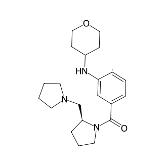 O=C(c1cc[c]c(NC2CCOCC2)c1)N1CCC[C@H]1CN1CCCC1